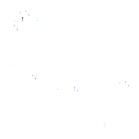 N#Cc1cc(F)cc(N2CC3C(C2)C3NCC(=O)[C@@H]2CN[C@@](F)(C#N)C2)c1